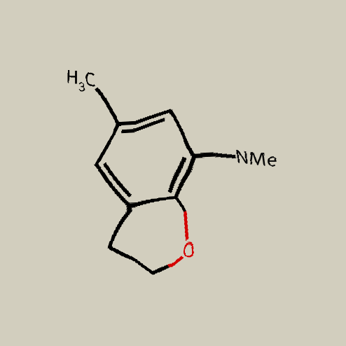 CNc1cc(C)cc2c1OCC2